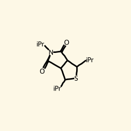 CC(C)C1SC(C(C)C)C2C(=O)N(C(C)C)C(=O)C12